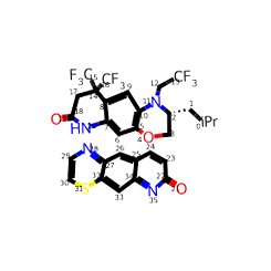 CC(C)C[C@@H]1COc2cc3c(cc2N1CC(F)(F)F)C(C(F)(F)F)(C(F)(F)F)CC(=O)N3.O=c1ccc2cc3nccsc3cc2n1